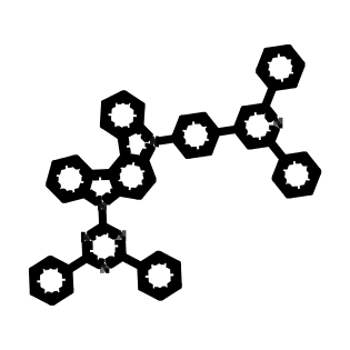 c1ccc(-c2cc(-c3ccc(-n4c5ccccc5c5c6c7ccccc7n(-c7nc(-c8ccccc8)nc(-c8ccccc8)n7)c6ccc54)cc3)cc(-c3ccccc3)n2)cc1